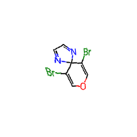 BrC1=COC=C(Br)C12N=CC=N2